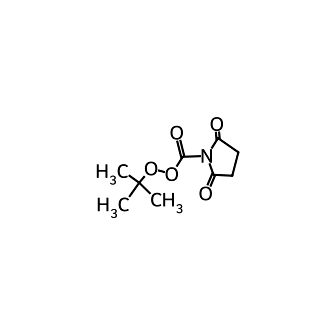 CC(C)(C)OOC(=O)N1C(=O)CCC1=O